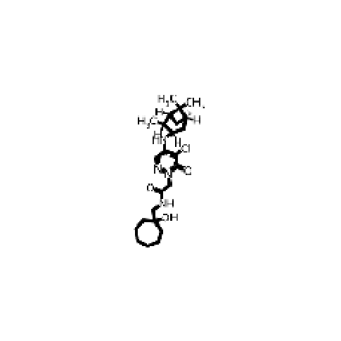 C[C@@H]1[C@H]2C[C@@H](C[C@H]1Nc1cnn(CC(=O)NCC3(O)CCCCCC3)c(=O)c1Cl)C2(C)C